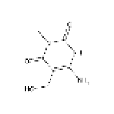 Cn1c(=O)[nH]c(N)c(CO)c1=O